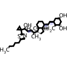 C=C1/C(=C\C=C2/CCC[C@]3(C)[C@@H]([C@@H](C)/C=C/[C@H](O)C4(c5ncc(CCCCC)s5)CC4)CC[C@@H]23)C[C@@H](O)C[C@@H]1O